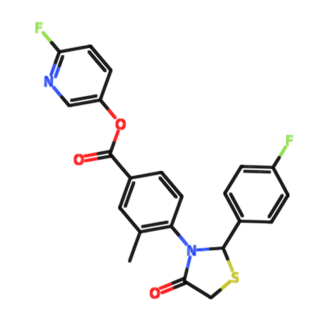 Cc1cc(C(=O)Oc2ccc(F)nc2)ccc1N1C(=O)CSC1c1ccc(F)cc1